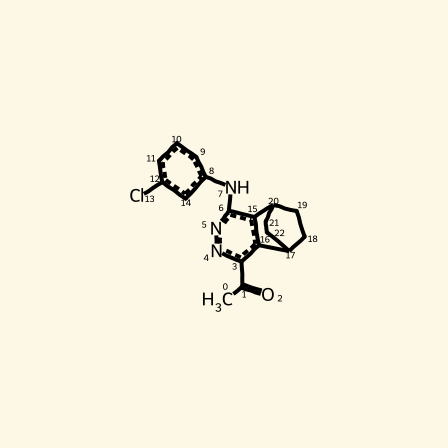 CC(=O)c1nnc(Nc2cccc(Cl)c2)c2c1C1CCC2CC1